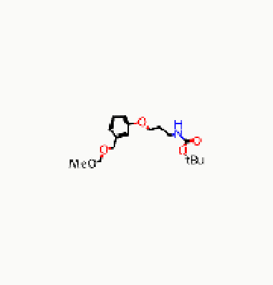 COCOCc1cccc(OCCCNC(=O)OC(C)(C)C)c1